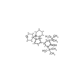 CC(C)(C)c1cc(-c2csc(C3(N4CCCCC4)CCOCC3)n2)cc(C(C)(C)C)c1O